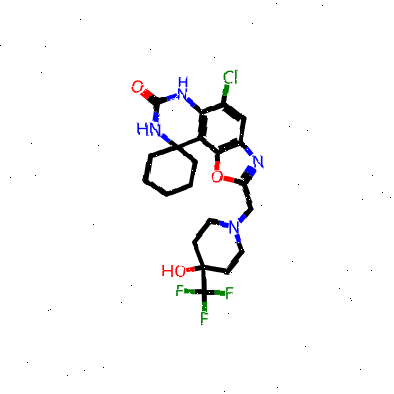 O=C1Nc2c(Cl)cc3nc(CN4CCC(O)(C(F)(F)F)CC4)oc3c2C2(CCCCC2)N1